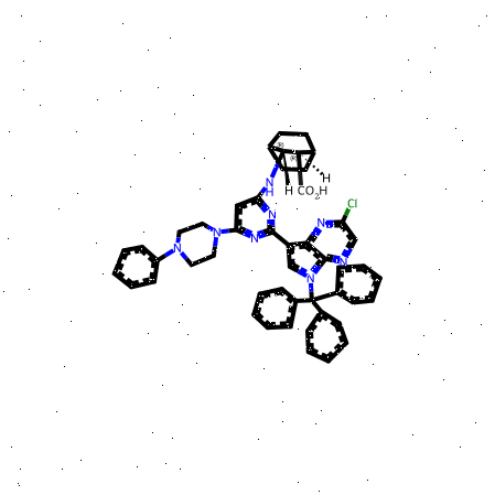 O=C(O)[C@@H]1C2CCC(CC2)[C@H]1Nc1cc(N2CCN(c3ccccc3)CC2)nc(-c2cn(C(c3ccccc3)(c3ccccc3)c3ccccc3)c3ncc(Cl)nc23)n1